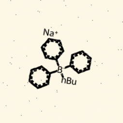 CCCC[B-](c1ccccc1)(c1ccccc1)c1ccccc1.[Na+]